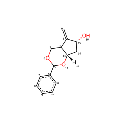 C=C1C2COC(c3ccccc3)O[C@H]2C[C@H]1O